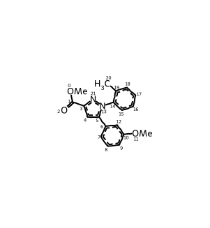 COC(=O)c1cc(-c2cccc(OC)c2)n(-c2ccccc2C)n1